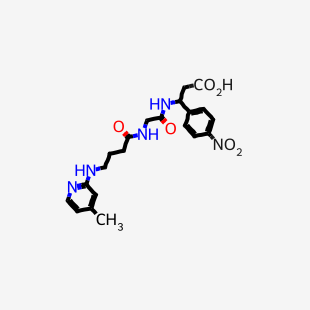 Cc1ccnc(NCCCC(=O)NCC(=O)NC(CC(=O)O)c2ccc([N+](=O)[O-])cc2)c1